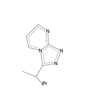 CC(C)C(C)c1nnc2ncccn12